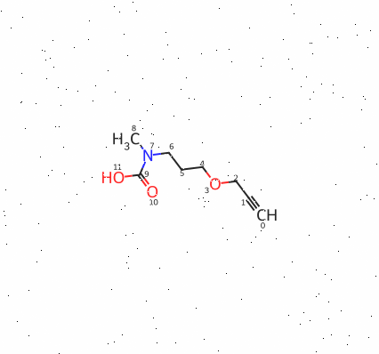 C#CCOCCCN(C)C(=O)O